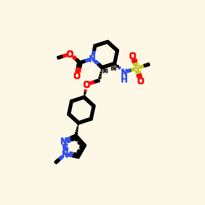 COC(=O)N1CCC[C@H](NS(C)(=O)=O)[C@@H]1CO[C@H]1CC[C@@H](c2ccn(C)n2)CC1